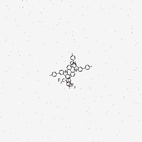 Cc1ccc(-c2ccc3c(c2)c2cc(-c4ccc(C)cc4)ccc2n3-c2ccc(C#N)cc2-c2cc(-c3cc(C(F)(F)F)cc(C(F)(F)F)c3)ccc2-n2c3ccc(-c4ccc(C)cc4)cc3c3cc(-c4ccc(C)cc4)ccc32)cc1